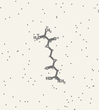 C=C(O)CC(=O)OCCOC(=O)C(=C)C